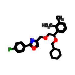 Cc1cccc(C(COCc2coc(-c3ccc(F)cc3)n2)OCC2CCCCC2)c1C(=O)O